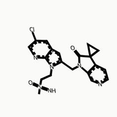 CS(=N)(=O)CCn1c(CN2C(=O)C3(CC3)c3ccncc32)cc2cc(Cl)cnc21